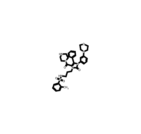 Cc1ccccc1S(=O)(=O)NCCCn1c(C(=O)N2CCNCC2)c(-c2ccccc2)n(-c2cccc(N3CCOCC3)c2)c1=O